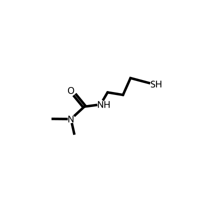 CN(C)C(=O)NCCCS